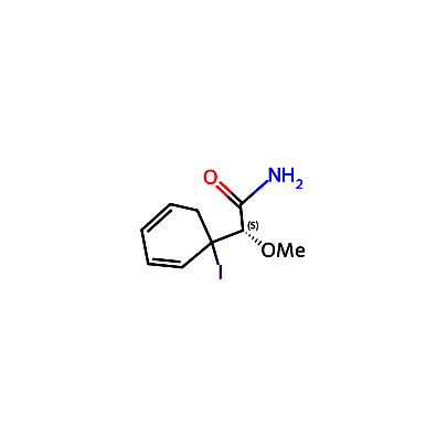 CO[C@@H](C(N)=O)C1(I)C=CC=CC1